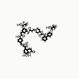 CN(C(=O)CCN1CCC(OC(=O)Nc2ccccc2-c2ccccc2)CC1)c1cccc(CC(=O)Nc2ccc(CNC[C@H](O)c3ccc(O)c4[nH]c(=O)ccc34)cc2)c1.O=C(O)C(F)(F)F.O=C(O)C(F)(F)F